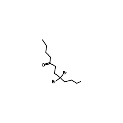 CCCCC(=O)CCC(Br)(Br)CCCC